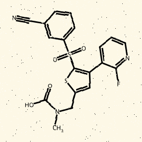 CN(Cc1cc(-c2cccnc2F)c(S(=O)(=O)c2cccc(C#N)c2)s1)C(=O)O